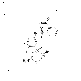 C[C@]1(c2cc(NS(=O)(=O)c3ccccc3[N+](=O)[O-])ccc2F)N=C(N)SC[C@@H]1Br